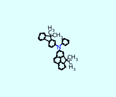 CC1(C)c2ccccc2-c2ccc(N(c3ccccc3)c3cc4c5c(ccc6cccc(c65)C4(C)C)c3)cc21